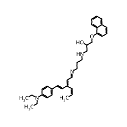 C\C=C/C(C=Cc1ccc(N(CC)CC)cc1)=C\C=N\CCCNCC(O)COc1cccc2ccccc12